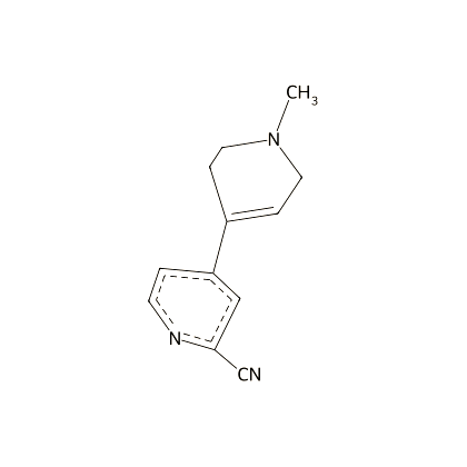 CN1CC=C(c2ccnc(C#N)c2)CC1